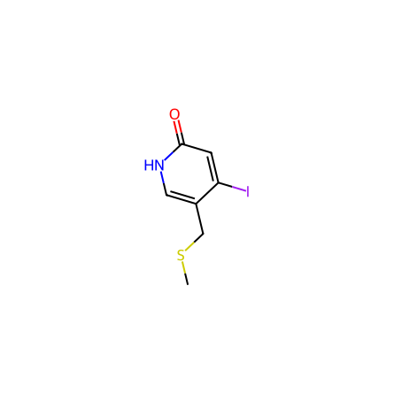 CSCc1c[nH]c(=O)cc1I